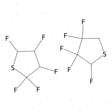 FC1SC(F)(F)C(F)C1F.FC1SCC(F)(F)C1(F)F